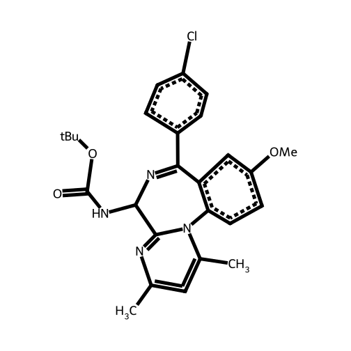 COc1ccc2c(c1)C(c1ccc(Cl)cc1)=NC(NC(=O)OC(C)(C)C)C1=NC(C)=C=C(C)N12